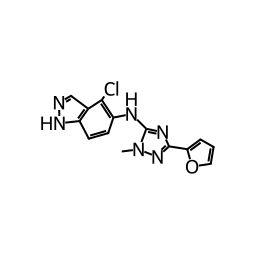 Cn1nc(-c2ccco2)nc1Nc1ccc2[nH]ncc2c1Cl